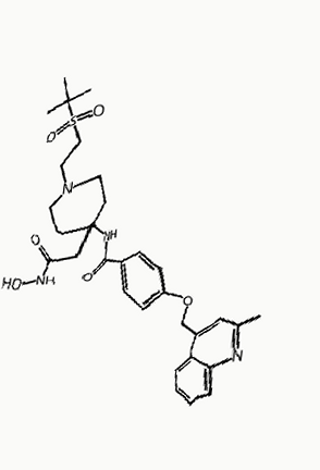 Cc1cc(COc2ccc(C(=O)NC3(CC(=O)NO)CCN(CCS(=O)(=O)C(C)(C)C)CC3)cc2)c2ccccc2n1